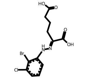 O=C(O)CCC/C(=N\Nc1cccc(Cl)c1Br)C(=O)O